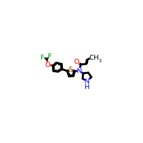 CC=CC(=O)N(c1ccc(-c2ccc(OC(F)F)cc2)s1)C1CCNC1